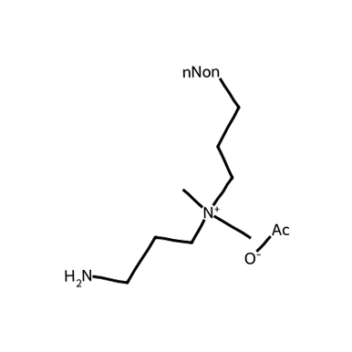 CC(=O)[O-].CCCCCCCCCCCC[N+](C)(C)CCCN